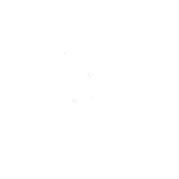 O=C=NCS1(CN=C=O)CCCCC1